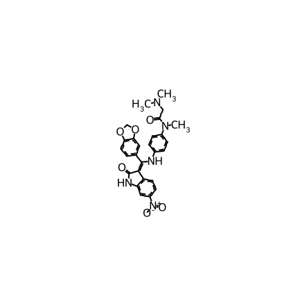 CN(C)CC(=O)N(C)c1ccc(NC(=C2C(=O)Nc3cc([N+](=O)[O-])ccc32)c2ccc3c(c2)OCO3)cc1